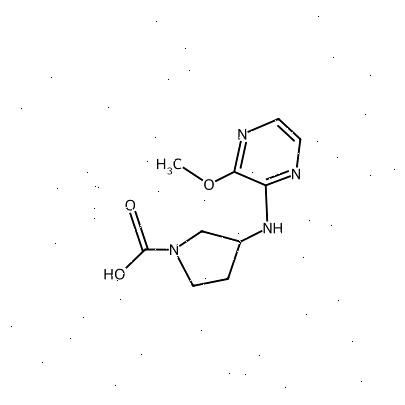 COc1nccnc1NC1CCN(C(=O)O)C1